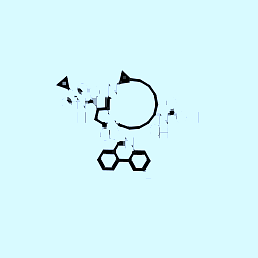 O=C(O)N[C@H]1CCCCC2=C(C2)/N=C\[C@@H]2[C@H](C(=O)NS(=O)(=O)C3CC3)CC(=O)N2[C@H](Oc2nc3ccc(F)cc3c3ccccc23)CCC1=O